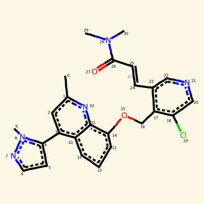 Cc1cc(-c2ccnn2C)c2cccc(OCc3c(Cl)cncc3/C=C/C(=O)N(C)C)c2n1